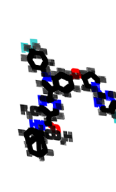 O=C(NC1(C(=O)O)C2CC3CC(C2)CC1C3)c1cnc(-c2cn(C3CCC(F)(F)CC3)c3cc(O[C@H]4CCN(c5ncc(F)cn5)C4)ccc23)nc1C(F)(F)F